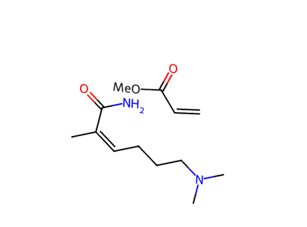 C=CC(=O)OC.CC(=CCCCN(C)C)C(N)=O